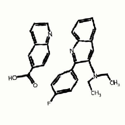 CCN(CC)c1cc2ccccc2nc1-c1ccc(F)cc1.O=C(O)c1ccc2ncccc2c1